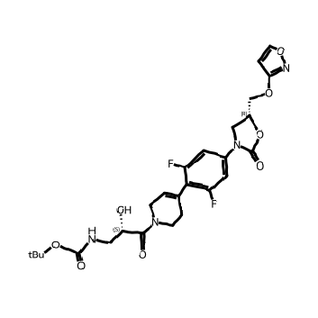 CC(C)(C)OC(=O)NC[C@H](O)C(=O)N1CC=C(c2c(F)cc(N3C[C@H](COc4ccon4)OC3=O)cc2F)CC1